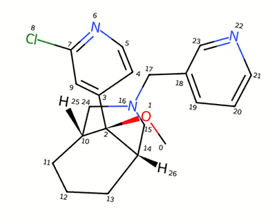 CO[C@]1(c2ccnc(Cl)c2)[C@@H]2CCC[C@H]1CN(Cc1cccnc1)C2